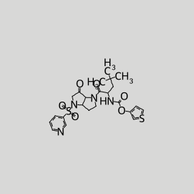 CC(C)(C)CC(NC(=O)Oc1ccsc1)C(=O)N1CCC2C1C(=O)CN2S(=O)(=O)c1cccnc1